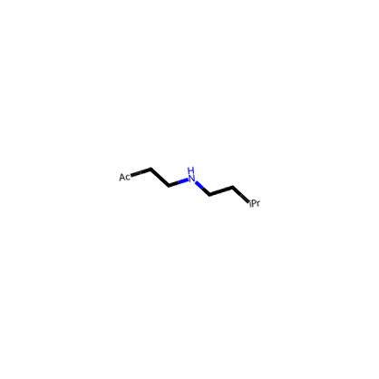 CC(=O)CCNCCC(C)C